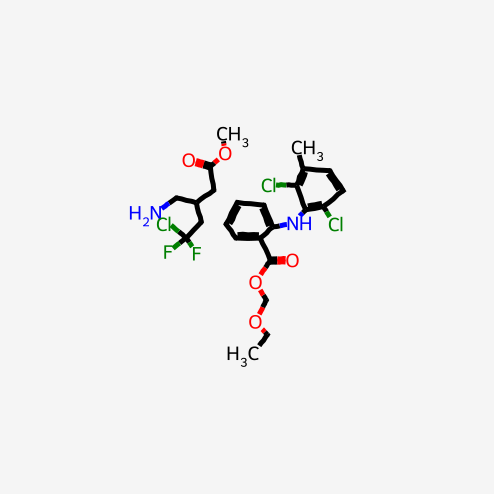 CCOCOC(=O)c1ccccc1Nc1c(Cl)ccc(C)c1Cl.COC(=O)CC(CN)CC(F)(F)Cl